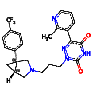 Cc1ncccc1-c1nn(CCCN2C[C@@H]3C[C@@]3(c3ccc(C(F)(F)F)cc3)C2)c(=O)[nH]c1=O